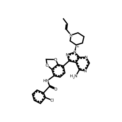 CC=CN1CCC[C@@H](n2nc(-c3ccc(NC(=O)c4ccccc4Cl)c4c3OCO4)c3c(N)ncnc32)C1